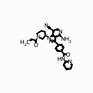 C=CC(=O)N1CCC[C@@H](n2nc(-c3ccc(C(=O)Nc4ccccn4)cc3)c3c(N)ncc(C#N)c32)C1